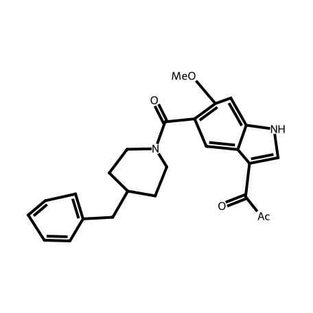 COc1cc2[nH]cc(C(=O)C(C)=O)c2cc1C(=O)N1CCC(Cc2ccccc2)CC1